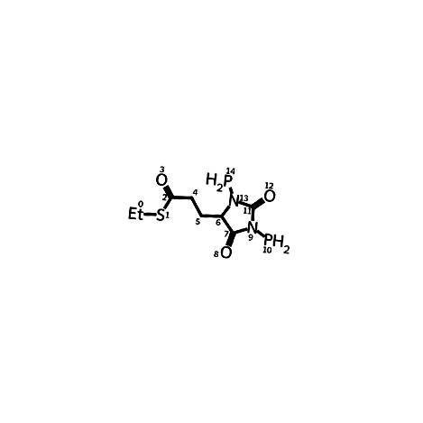 CCSC(=O)CCC1C(=O)N(P)C(=O)N1P